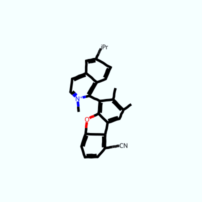 Cc1cc2c(oc3cccc(C#N)c32)c(-c2c3ccc(C(C)C)cc3cc[n+]2C)c1C